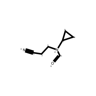 N#CCCN(C=O)C1CC1